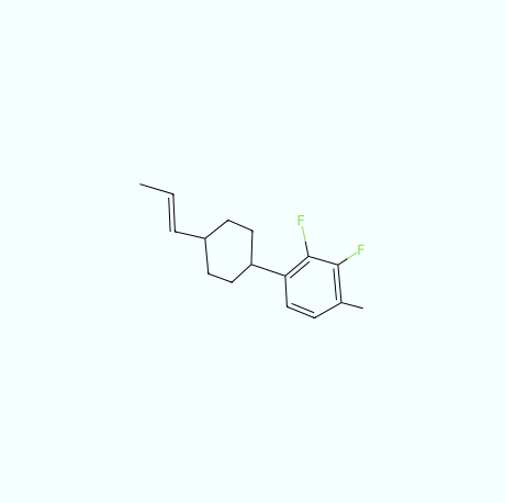 CC=CC1CCC(c2ccc(C)c(F)c2F)CC1